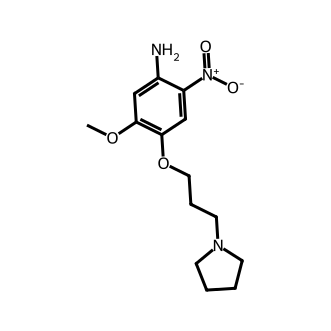 COc1cc(N)c([N+](=O)[O-])cc1OCCCN1CCCC1